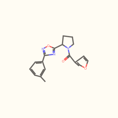 Cc1cccc(-c2noc(C3CCCN3C(=O)c3ccoc3)n2)c1